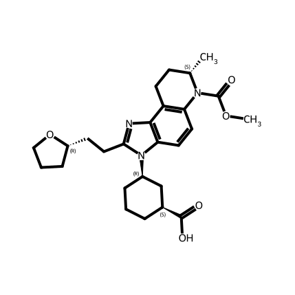 COC(=O)N1c2ccc3c(nc(CC[C@@H]4CCCO4)n3[C@@H]3CCC[C@H](C(=O)O)C3)c2CC[C@@H]1C